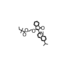 CCC(C)(C)C(=O)OCCOC1=C(c2ccc3cc(C(C)C)ccc3n2)C(=O)c2ccccc21